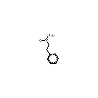 CCCCCC[S+]([O-])CCc1ccccc1